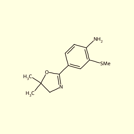 CSc1cc(C2=NCC(C)(C)O2)ccc1N